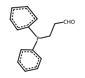 O=CCCP(c1ccccc1)c1ccccc1